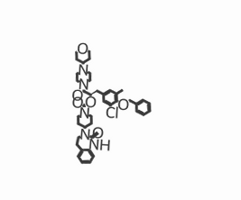 Cc1cc(C[C@@H](OC(=O)N2CCC(N3CCc4ccccc4NC3=O)CC2)C(=O)N2CCN(C3CCOCC3)CC2)cc(Cl)c1OCc1ccccc1